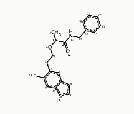 CC(OCCc1cc2ccsc2cc1F)C(=O)NCc1ccccc1